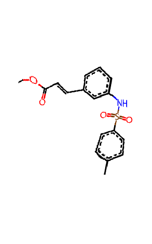 COC(=O)C=Cc1cccc(NS(=O)(=O)c2ccc(C)cc2)c1